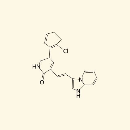 O=C1NCC(C2=C(Cl)CCC=C2)C=C1/C=C/C1=CNC2C=CC=CN12